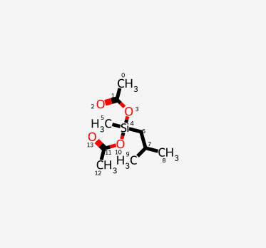 CC(=O)O[Si](C)(CC(C)C)OC(C)=O